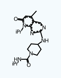 Cc1cc(=O)n(C(C)C)c2nc(NC3CCN(C(=O)NC(C)C)CC3)ncc12